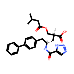 CC(C)CC(=O)OC[C@](C)(C[C@@H](Cc1ccc(-c2ccccc2)cc1)NC(=O)c1cnn[nH]1)C(=O)O